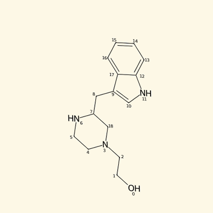 OCCN1CCNC(Cc2c[nH]c3ccccc23)C1